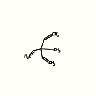 C=CC(C)(C=C)C=C